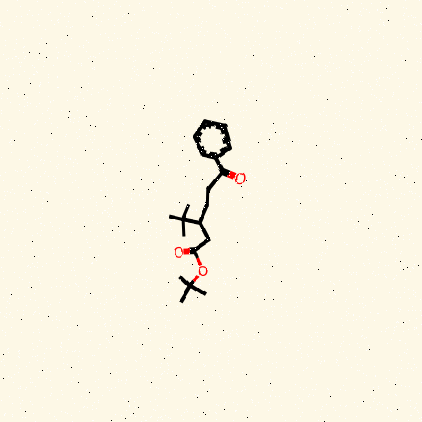 CC(C)(C)OC(=O)CC(CCC(=O)c1ccccc1)C(C)(C)C